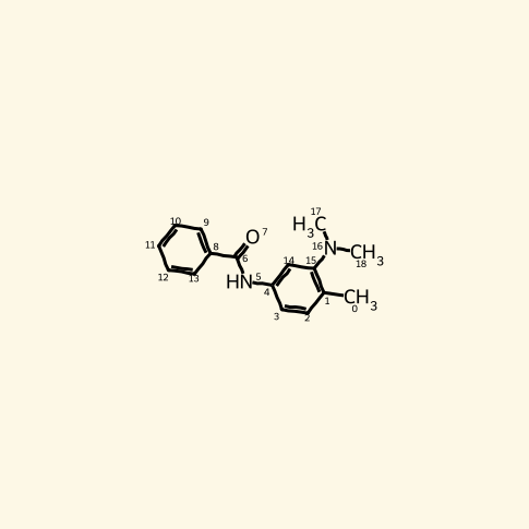 Cc1ccc(NC(=O)c2ccccc2)cc1N(C)C